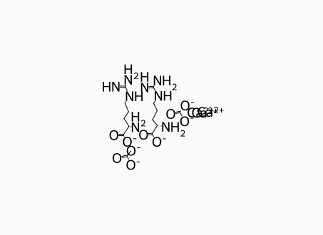 N=C(N)NCCC[C@H](N)C(=O)[O-].N=C(N)NCCC[C@H](N)C(=O)[O-].O=C([O-])[O-].O=C([O-])[O-].[Ca+2].[Ca+2].[Ca+2]